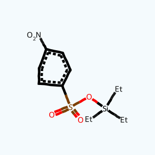 CC[Si](CC)(CC)OS(=O)(=O)c1ccc([N+](=O)[O-])cc1